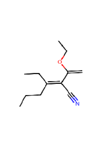 C=C(OCC)/C(C#N)=C(\CC)CCC